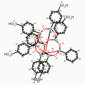 O=S(=O)(O)c1ccc([Si]23O[Si]4(c5ccccc5)O[Si]5(c6ccc(S(=O)(=O)O)cc6)O[Si](c6ccccc6)(O2)O[Si]2(c6ccc(S(=O)(=O)O)cc6)O[Si](c6ccc(S(=O)(=O)O)cc6)(O3)O[Si](c3ccc(S(=O)(=O)O)cc3)(O4)O[Si](c3ccc(S(=O)(=O)O)cc3)(O5)O2)cc1